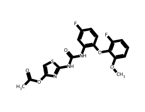 COc1cccc(F)c1Oc1ccc(F)cc1NC(=O)Nc1nc(OC(C)=O)cs1